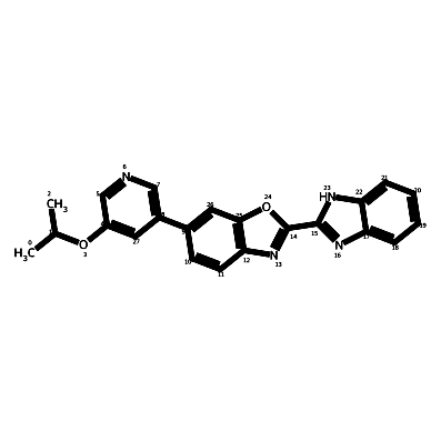 CC(C)Oc1cncc(-c2ccc3nc(-c4nc5ccccc5[nH]4)oc3c2)c1